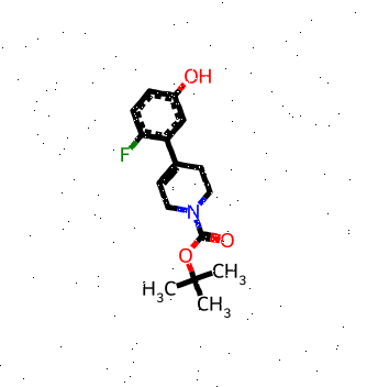 CC(C)(C)OC(=O)N1CC=C(c2cc(O)ccc2F)CC1